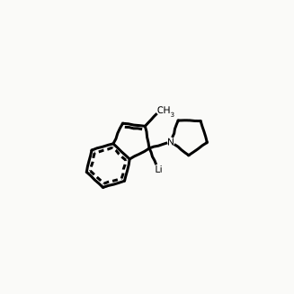 [Li][C]1(N2CCCC2)C(C)=Cc2ccccc21